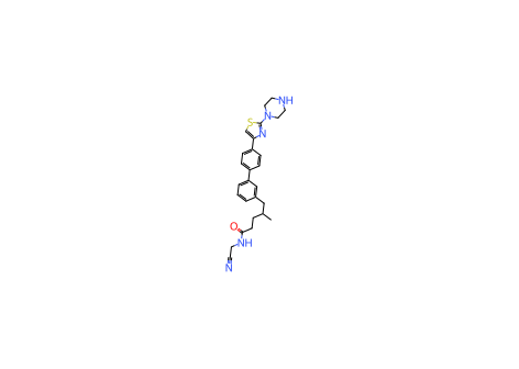 CC(CCC(=O)NCC#N)Cc1cccc(-c2ccc(-c3csc(N4CCNCC4)n3)cc2)c1